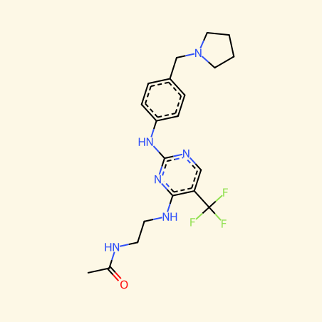 CC(=O)NCCNc1nc(Nc2ccc(CN3CCCC3)cc2)ncc1C(F)(F)F